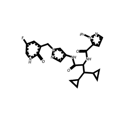 CC(C)n1nccc1C(=O)NC(C(=O)Nc1cnn(Cc2cc(F)c[nH]c2=O)c1)C(C1CC1)C1CC1